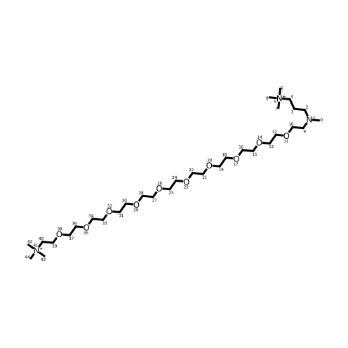 CN(CCC[N+](C)(C)C)CCOCCOCCOCCOCCOCCOCCOCCOCCOCCOCC[N+](C)(C)C